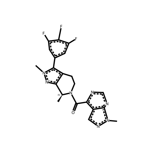 C[C@H]1c2nn(C)c(-c3cc(F)c(F)c(F)c3)c2CCN1C(=O)c1ncnc2c1cnn2C